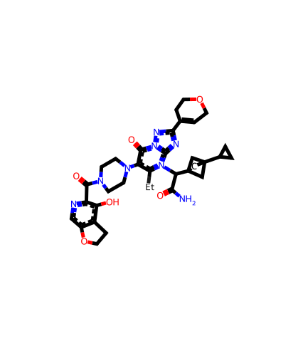 CCc1c(N2CCN(C(=O)c3ncc4c(c3O)CCO4)CC2)c(=O)n2nc(C3=CCOCC3)nc2n1C(C(N)=O)C12CC(C3CC3)(C1)C2